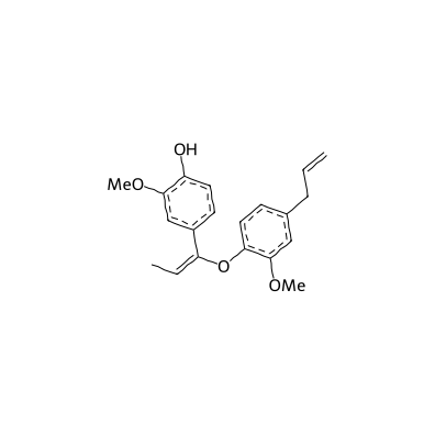 C=CCc1ccc(OC(=CC)c2ccc(O)c(OC)c2)c(OC)c1